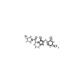 O=C([C@@H]1CCCc2nn(Cc3ncc(C(F)(F)F)cc3Cl)c(=O)n21)N1CC[C@H](F)C1